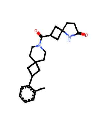 Cc1ccccc1C1CC2(CCN(C(=O)C3CC4(CCC(=O)N4)C3)CC2)C1